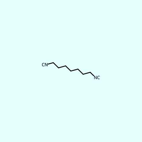 [C-]#[N+]CCCCCCC[N+]#[C-]